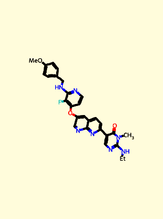 CCNc1ncc(-c2ccc3cc(Oc4ccnc(NCc5ccc(OC)cc5)c4F)cnc3n2)c(=O)n1C